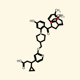 Cc1cccc(/C2=C\CC(C)(C)CCC(C(=O)c3ccc(O)cc3N3CCC(COc4cc(C(CC(=O)O)C5CC5)ccn4)CC3)C2)n1